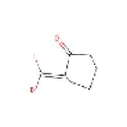 O=C1CCCC/C1=C(\Br)I